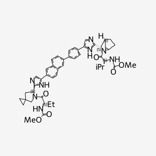 CC[C@H](NC(=O)OC)C(=O)N1CC2(CC2)C[C@H]1c1ncc(-c2ccc3cc(-c4ccc(-c5cnc([C@@H]6[C@H]7CCC(C7)N6C(=O)[C@@H](NC(=O)OC)C(C)C)[nH]5)cc4)ccc3c2)[nH]1